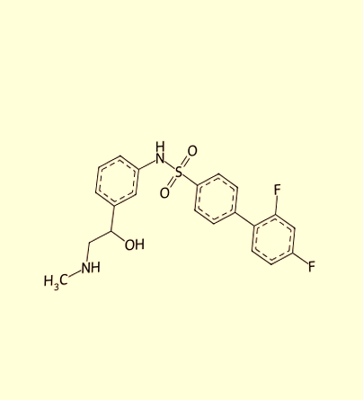 CNCC(O)c1cccc(NS(=O)(=O)c2ccc(-c3ccc(F)cc3F)cc2)c1